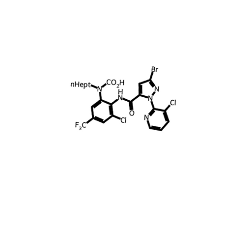 CCCCCCCN(C(=O)O)c1cc(C(F)(F)F)cc(Cl)c1NC(=O)c1cc(Br)nn1-c1ncccc1Cl